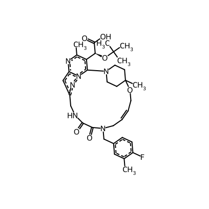 Cc1cc(CN2CC=CCOC3(C)CCN(CC3)c3c([C@H](OC(C)(C)C)C(=O)O)c(C)nc4cc(nn34)CNC(=O)C2=O)ccc1F